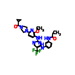 C=CC(=O)Nc1cccc(Nc2nc(Nc3ccc(N4CCN(C(=O)C5CC5)CC4)nc3OC)ncc2C(F)(F)F)c1